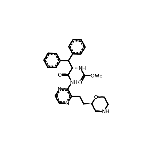 COC(=O)N[C@H](C(=O)Nc1nccnc1CC[C@@H]1CNCCO1)C(c1ccccc1)c1ccccc1